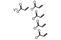 C=CC(=O)[O-].C=CC(=O)[O-].C=CC(=O)[O-].C=CC(=O)[O-].C=CC(=O)[O-].[V+5]